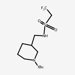 CC(C)(C)N1CCCC(CNS(=O)(=O)CC(F)(F)F)C1